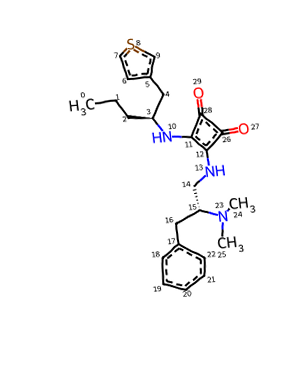 CCC[C@@H](Cc1ccsc1)Nc1c(NC[C@@H](Cc2ccccc2)N(C)C)c(=O)c1=O